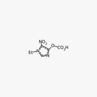 CCn1cnc(OC(=O)O)c1[N+](=O)[O-]